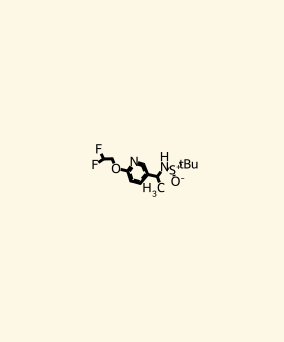 CC(N[S+]([O-])C(C)(C)C)c1ccc(OCC(F)F)nc1